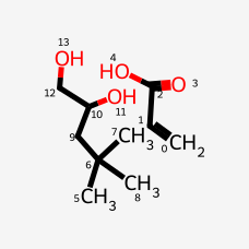 C=CC(=O)O.CC(C)(C)CC(O)CO